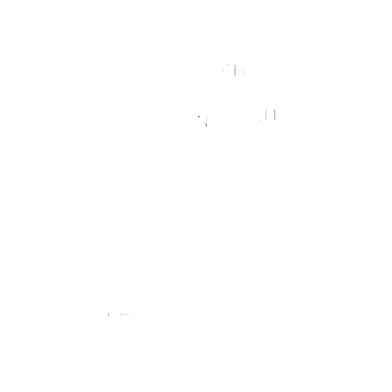 CCCC[CH]CCCN(CC)CC